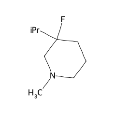 CC(C)C1(F)CCCN(C)C1